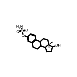 C[C@]12CCC3c4ccc(OS(N)(=O)=O)cc4CCC3C1CCC2O